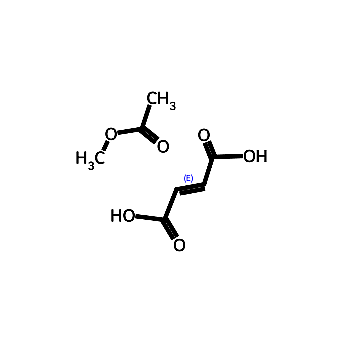 COC(C)=O.O=C(O)/C=C/C(=O)O